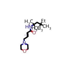 CCC(C)(C)CC(C)(C)NC(=O)/C=C/CN1CCOCC1